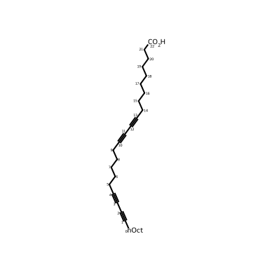 CCCCCCCCC#CC#CCCCCCC#CC#CCCCCCCCCC(=O)O